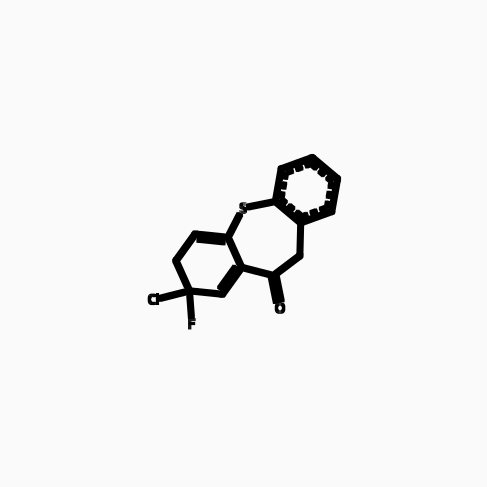 O=C1Cc2ccccc2SC2=CCC(F)(Cl)C=C12